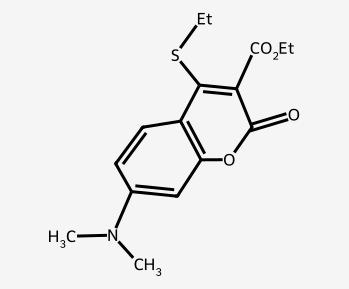 CCOC(=O)c1c(SCC)c2ccc(N(C)C)cc2oc1=O